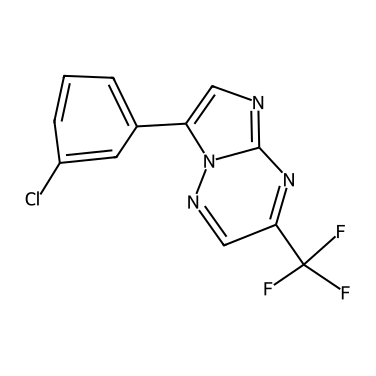 FC(F)(F)c1cnn2c(-c3cccc(Cl)c3)cnc2n1